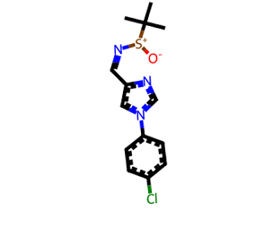 CC(C)(C)[S+]([O-])/N=C\c1cn(-c2ccc(Cl)cc2)cn1